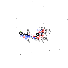 CCN(CCNC(=O)c1c(C)[nH]c(/C=C2\C(=O)Nc3ccc(F)cc32)c1C)C(=O)C(O)c1ccc(OP(=O)(N[C@@H](C)C(=O)OC(C)C)N[C@@H](C)C(=O)OC(C)C)cc1